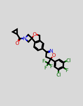 O=C(C1CC1)N1CC2(C1)OCc1cc(C3=NOC(c4cc(Cl)c(F)c(Cl)c4)(C(F)(F)F)C3)ccc12